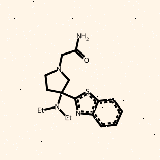 CCN(CC)C1(c2nc3ccccc3s2)CCN(CC(N)=O)C1